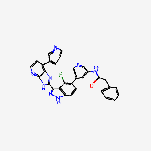 O=C(Cc1ccccc1)Nc1cncc(-c2ccc3[nH]nc(-c4nc5c(-c6cccnc6)ccnc5[nH]4)c3c2F)c1